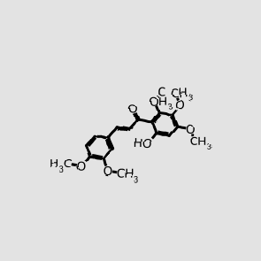 COc1ccc(/C=C/C(=O)c2c(O)cc(OC)c(OC)c2OC)cc1OC